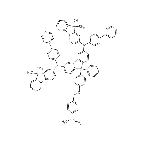 CC(C)c1ccc(COc2ccc(C3(c4ccccc4)c4ccc(N(c5ccc(-c6ccccc6)cc5)c5ccc6c(c5)C(C)(C)c5ccccc5-6)cc4-c4cc(N(c5ccc(-c6ccccc6)cc5)c5ccc6c(c5)C(C)(C)c5ccccc5-6)ccc43)cc2)cc1